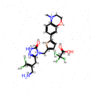 CN1CCOc2cc(-c3ccc(Cn4c(CC(CN)=C(F)F)n[nH]c4=O)s3)ccc21.O=C(O)C(F)(F)F